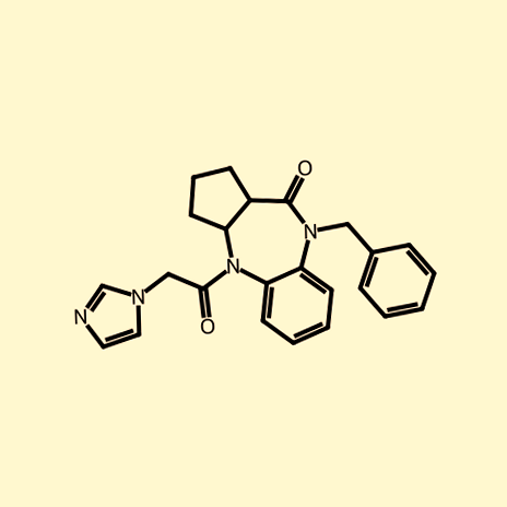 O=C1C2CCCC2N(C(=O)Cn2ccnc2)c2ccccc2N1Cc1ccccc1